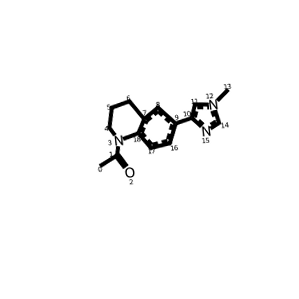 CC(=O)N1CCCc2cc(-c3cn(C)cn3)ccc21